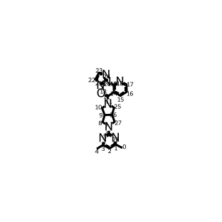 Cc1cc(C)nc(N2CC3CN(C(=O)c4cccnc4-n4nccn4)CC3C2)n1